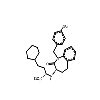 CCOC(=O)[C@H](CCC1CCCCC1)N[C@@H]1CCc2ccccc2N(Cc2ccc(C(C)(C)C)cc2)C1=O